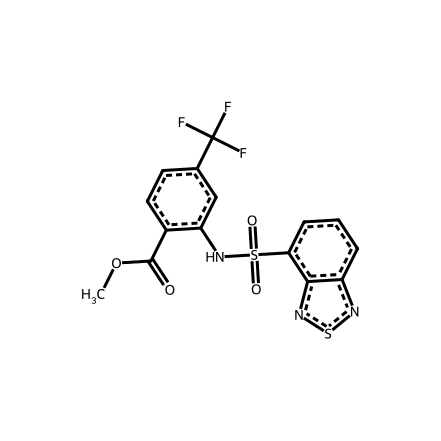 COC(=O)c1ccc(C(F)(F)F)cc1NS(=O)(=O)c1cccc2nsnc12